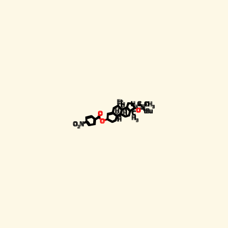 CC[C@@H]1CC2=C[C@H](OC(=O)c3ccc([N+](=O)[O-])cc3)CC[C@@H]2[C@H]2CC[C@]3(C)[C@@H](O[Si](C)(C)C(C)(C)C)CC[C@H]3[C@H]12